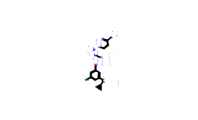 CC(NC(=O)c1cc(C(F)(F)F)cc(C(C)(O)C2CC2)c1)c1ncnn1-c1ccc(C#N)cn1